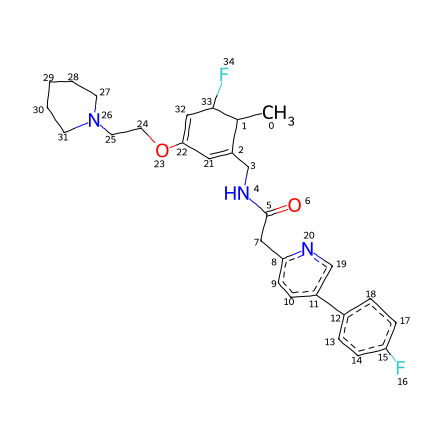 CC1C(CNC(=O)Cc2ccc(-c3ccc(F)cc3)cn2)=CC(OCCN2CCCCC2)=CC1F